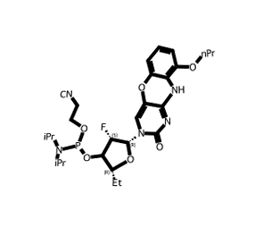 [C-]#[N+]CCOP(OC1[C@@H](CC)O[C@@H](n2cc3c(nc2=O)Nc2c(OCCC)cccc2O3)[C@H]1F)N(C(C)C)C(C)C